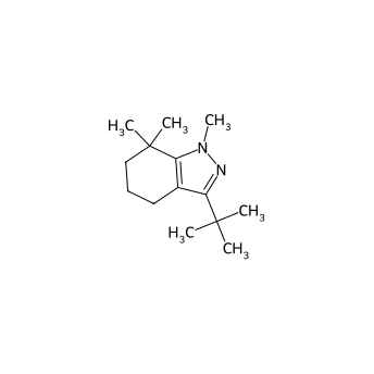 Cn1nc(C(C)(C)C)c2c1C(C)(C)CCC2